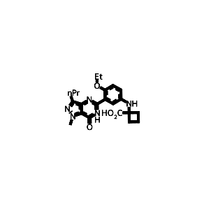 CCCc1nn(C)c2c(=O)[nH]c(-c3cc(NC4(C(=O)O)CCC4)ccc3OCC)nc12